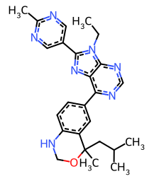 CCn1c(-c2cnc(C)nc2)nc2c(-c3ccc4c(c3)C(C)(CC(C)C)OCN4)ncnc21